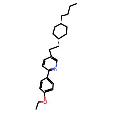 CCCC[C@H]1CC[C@H](CCc2ccc(-c3ccc(OCC)cc3)nc2)CC1